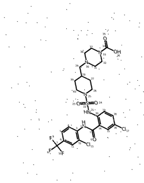 O=C(Nc1ccc(C(F)(F)F)cc1Cl)c1cc(Cl)ccc1NS(=O)(=O)N1CCC(CN2CCN(C(=O)O)CC2)CC1